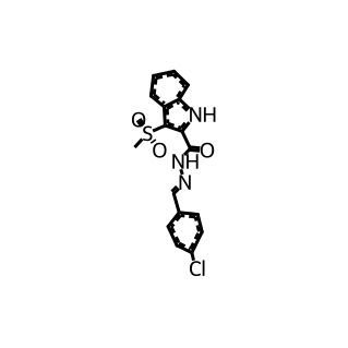 CS(=O)(=O)c1c(C(=O)NN=Cc2ccc(Cl)cc2)[nH]c2ccccc12